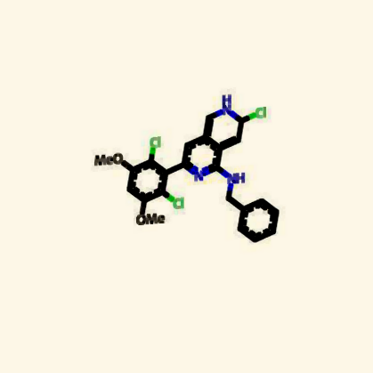 COc1cc(OC)c(Cl)c(-c2cc3c(c(NCc4ccccc4)n2)=CC(Cl)NC=3)c1Cl